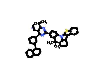 C=Cc1nc(-c2ccc3c(c2)C(C)(C)c2cccc4c5c6ccccc6sc5n-3c24)nc(-c2cccc(-c3cccc4ccccc34)c2)c1/C=C\C